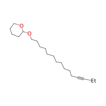 CCC#CCCCCCCCCCCCOC1CCCCO1